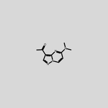 CC(=O)c1cnn2ccc(N(C)C)nc12